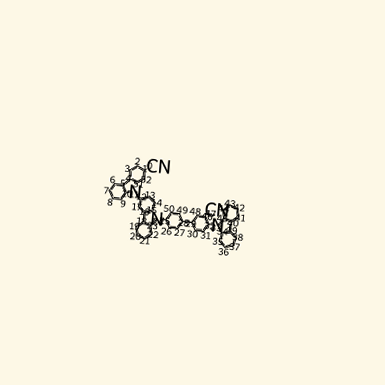 N#Cc1ccc2c3ccccc3n(-c3ccc4c(c3)c3ccccc3n4-c3ccc(-c4ccc(-n5c6ccccc6c6ccccc65)c(C#N)c4)cc3)c2c1